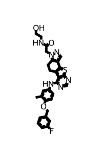 Cc1cc(Nc2ncnc3sc4c(c23)CCc2c-4cnn2CC(=O)NCCO)ccc1OCc1cccc(F)c1